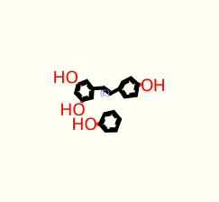 Oc1ccc(/C=C/c2cc(O)cc(O)c2)cc1.Oc1ccccc1